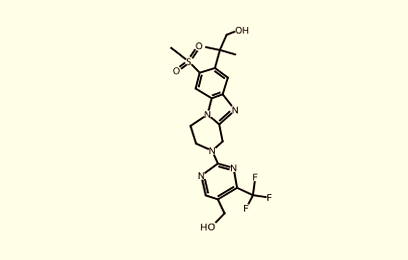 CC(C)(CO)c1cc2nc3n(c2cc1S(C)(=O)=O)CCN(c1ncc(CO)c(C(F)(F)F)n1)C3